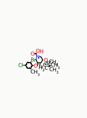 Cc1cc(Cl)cc(Br)c1O[C@H]1C[C@@H](O[Si](C)(C)C(C)(C)C)CN(C(=O)O)C1